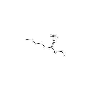 CCCCCC(=O)OCC.[GaH3]